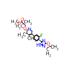 COC(=O)C(C)(C)COC1N=CC(c2ccc(-c3nc(OC(C)C)n[nH]3)c(F)c2)=C(C)C1C